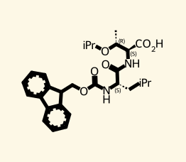 CC(C)C[C@H](NC(=O)OCC1c2ccccc2-c2ccccc21)C(=O)N[C@H](C(=O)O)[C@@H](C)OC(C)C